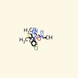 C#CCNC(=O)C[C@@H]1N=C(C2=CC=C(Cl)C=CC2)C2=C(CSC(C)=C2C)n2c(C)nnc21